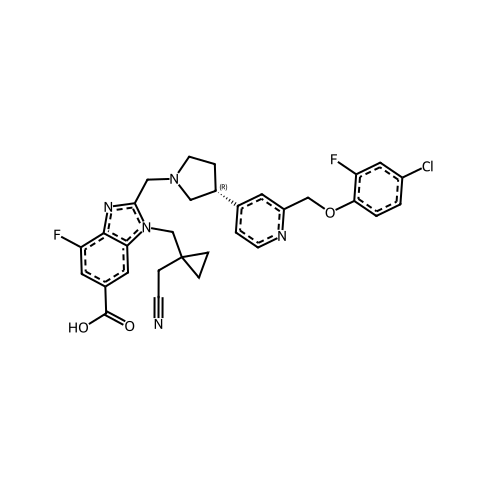 N#CCC1(Cn2c(CN3CC[C@H](c4ccnc(COc5ccc(Cl)cc5F)c4)C3)nc3c(F)cc(C(=O)O)cc32)CC1